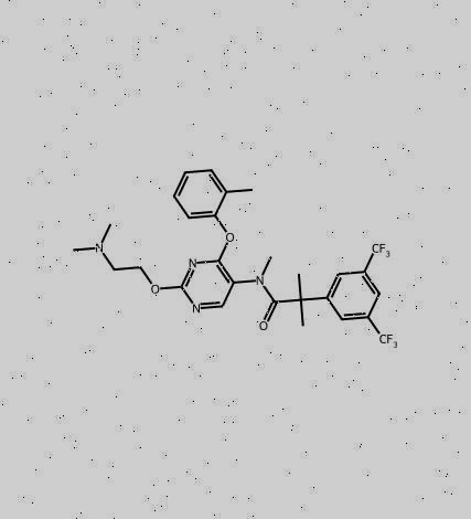 Cc1ccccc1Oc1nc(OCCN(C)C)ncc1N(C)C(=O)C(C)(C)c1cc(C(F)(F)F)cc(C(F)(F)F)c1